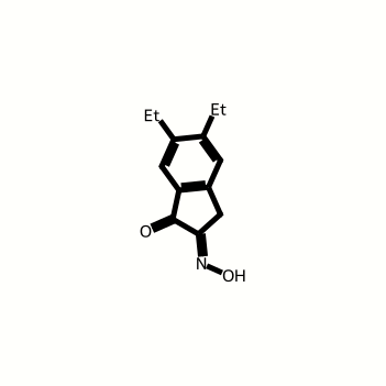 CCc1cc2c(cc1CC)C(=O)C(=NO)C2